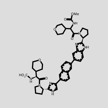 COC(=O)NC(C(=O)N1CCC[C@H]1c1nc2cc(-c3ccc4cc(-c5c[nH]c([C@@H]6CCCN6C(=O)[C@@H](NC(=O)O)C6CCOCC6)n5)ccc4c3)ccc2[nH]1)C1CCOCC1